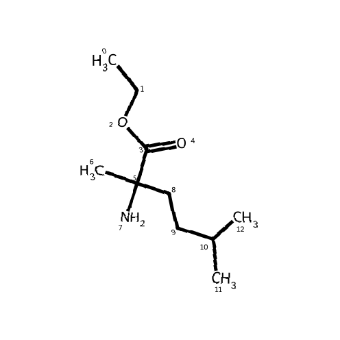 CCOC(=O)C(C)(N)CCC(C)C